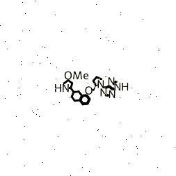 COC1CNC(C2CCc3cccc(OC[C@H]4CCCN4c4ncnc5[nH]cnc45)c3C2)C1